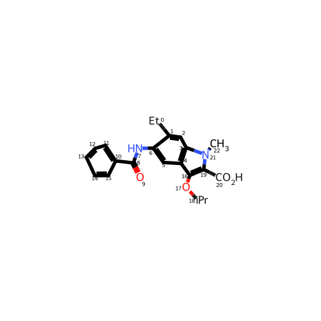 CCc1cc2c(cc1NC(=O)c1ccccc1)c(OC(C)C)c(C(=O)O)n2C